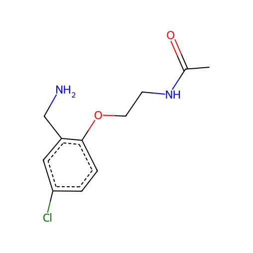 CC(=O)NCCOc1ccc(Cl)cc1CN